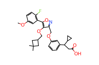 COc1ccc(F)c(-c2onc(COc3cccc(C(CC(=O)O)C4CC4)c3)c2OCC2CC(C)(C)C2)c1